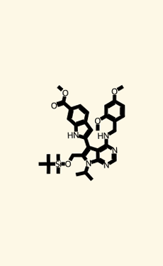 COC(=O)c1ccc2cc(-c3c(CO[Si](C)(C)C(C)(C)C)n(C(C)C)c4ncnc(NCc5ccc(OC)cc5OC)c34)[nH]c2c1